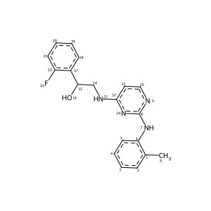 Cc1ccccc1Nc1nccc(NCC(O)c2ccccc2F)n1